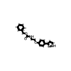 O=C(NCCOc1ccc(-c2cc[nH]n2)cc1)OCc1ccccc1